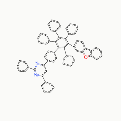 c1ccc(-c2cc(-c3ccc(-c4c(-c5ccccc5)c(-c5ccccc5)c(-c5ccccc5)c(-c5ccc6c(c5)oc5ccccc56)c4-c4ccccc4)cc3)nc(-c3ccccc3)n2)cc1